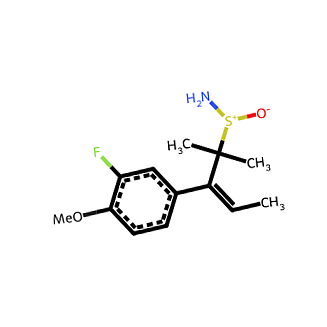 C/C=C(/c1ccc(OC)c(F)c1)C(C)(C)[S+](N)[O-]